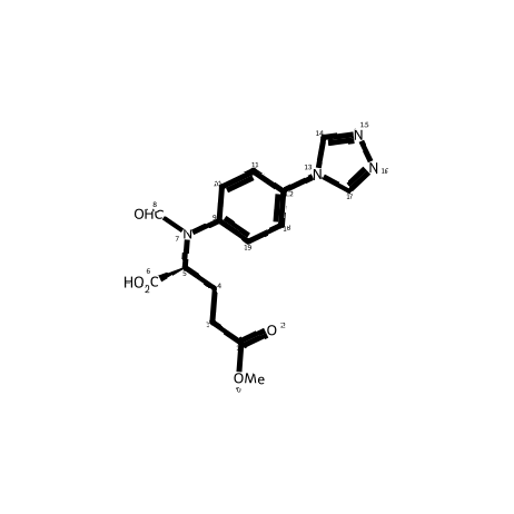 COC(=O)CC[C@@H](C(=O)O)N(C=O)c1ccc(-n2cnnc2)cc1